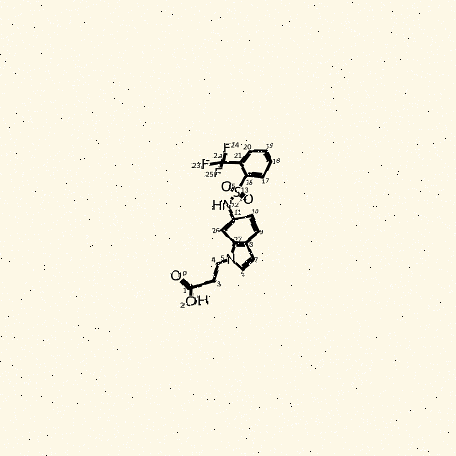 O=C(O)CCn1ccc2ccc(NS(=O)(=O)c3ccccc3C(F)(F)F)cc21